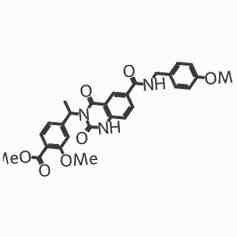 COC(=O)c1ccc(C(C)n2c(=O)[nH]c3ccc(C(=O)NCc4ccc(OC)cc4)cc3c2=O)cc1OC